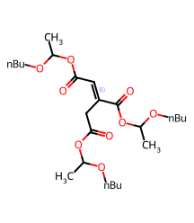 CCCCOC(C)OC(=O)/C=C(\CC(=O)OC(C)OCCCC)C(=O)OC(C)OCCCC